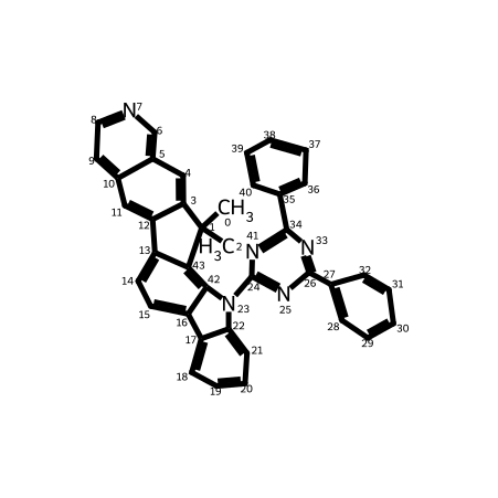 CC1(C)c2cc3cnccc3cc2-c2ccc3c4ccccc4n(-c4nc(-c5ccccc5)nc(-c5ccccc5)n4)c3c21